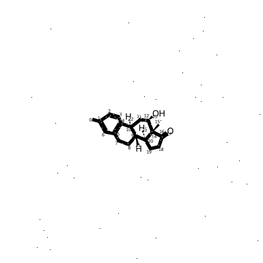 Cc1ccc2c(c1)CC[C@@H]1[C@@H]2C[C@@H](O)[C@]2(C)C(=O)CC[C@@H]12